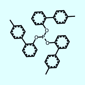 Cc1ccc(-c2ccccc2OP(Oc2ccccc2-c2ccc(C)cc2)Oc2ccccc2-c2ccc(C)cc2)cc1